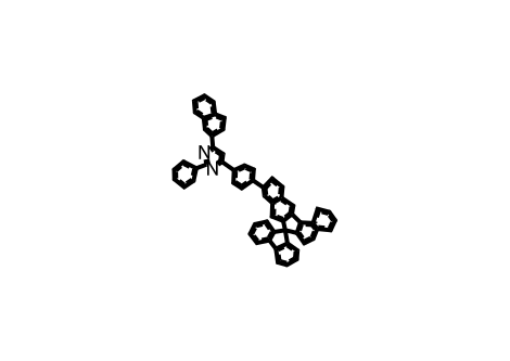 c1ccc(-c2nc(-c3ccc(-c4ccc5cc6c(cc5c4)C4(c5ccccc5-c5ccccc54)c4ccc5ccccc5c4-6)cc3)cc(-c3ccc4ccccc4c3)n2)cc1